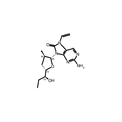 C=Cn1c(=O)n([C@@H]2O[C@H]([C@@H](O)CC)C[C@H]2C)c2nc(N)ncc21